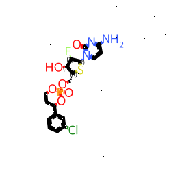 Nc1ccn([C@@H]2S[C@H](COP3(=O)OCCC(c4cccc(Cl)c4)O3)[C@@H](O)[C@@H]2F)c(=O)n1